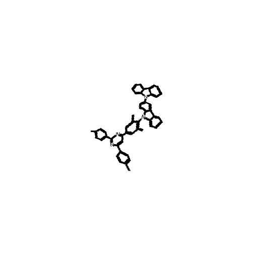 Cc1ccc(-c2cc(-c3cc(C)c(-n4c5ccccc5c5cc(-n6c7ccccc7c7ccccc76)ccc54)c(C)c3)nc(-c3ccc(C)cc3)n2)cc1